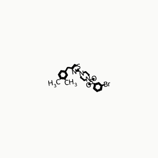 Cc1ccc(Cc2csc(N3CCN(S(=O)(=O)c4cccc(Br)c4)CC3)n2)cc1C